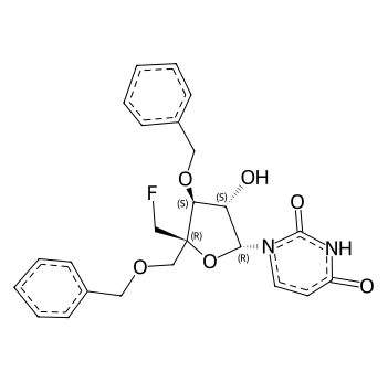 O=c1ccn([C@@H]2O[C@](CF)(COCc3ccccc3)[C@@H](OCc3ccccc3)[C@@H]2O)c(=O)[nH]1